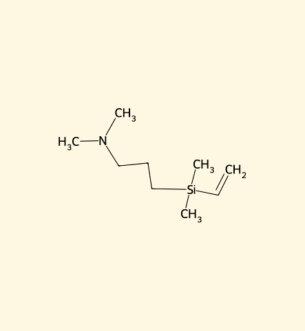 C=C[Si](C)(C)CCCN(C)C